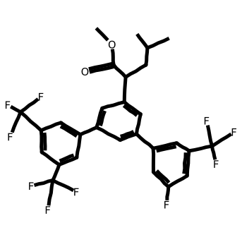 COC(=O)C(CC(C)C)c1cc(-c2cc(F)cc(C(F)(F)F)c2)cc(-c2cc(C(F)(F)F)cc(C(F)(F)F)c2)c1